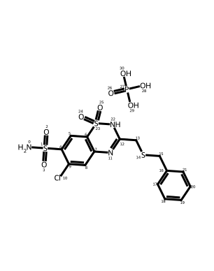 NS(=O)(=O)c1cc2c(cc1Cl)N=C(CSCc1ccccc1)NS2(=O)=O.O=P(O)(O)O